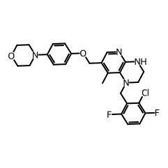 Cc1c(COc2ccc(N3CCOCC3)cc2)cnc2c1N(Cc1c(F)ccc(F)c1Cl)CCN2